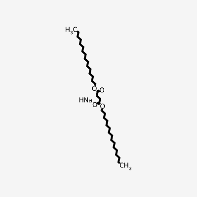 CCCCCCCCCCCCCCCCOC(=O)CCC(=O)OCCCCCCCCCCCCCCCC.[NaH]